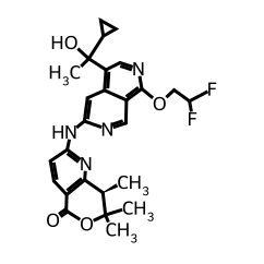 C[C@@H]1c2nc(Nc3cc4c(C(C)(O)C5CC5)cnc(OCC(F)F)c4cn3)ccc2C(=O)OC1(C)C